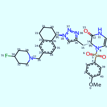 COc1ccc(S(=O)(=O)N2C=CNC(=O)[C@H]2Cc2cn([C@@H]3CCCc4cc(CN5CCC(F)CC5)ccc43)nn2)cc1